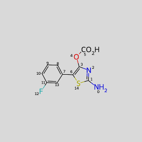 Nc1nc(OC(=O)O)c(-c2cccc(F)c2)s1